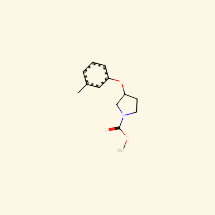 Cc1cccc(OC2CCN(C(=O)OC(C)(C)C)C2)c1